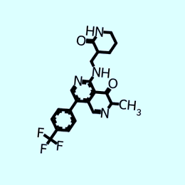 CC1N=Cc2c(-c3ccc(C(F)(F)F)cc3)cnc(NCC3CCCNC3=O)c2C1=O